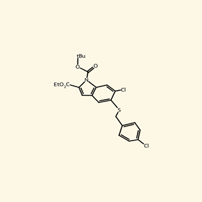 CCOC(=O)c1cc2cc(SCc3ccc(Cl)cc3)c(Cl)cc2n1C(=O)OC(C)(C)C